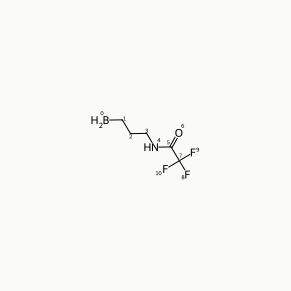 BCCCNC(=O)C(F)(F)F